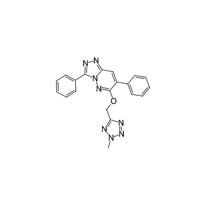 Cn1nnc(COc2nn3c(-c4ccccc4)nnc3cc2-c2ccccc2)n1